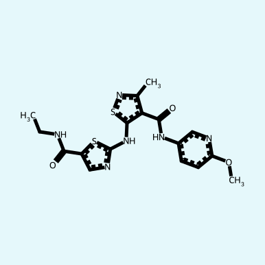 CCNC(=O)c1cnc(Nc2snc(C)c2C(=O)Nc2ccc(OC)nc2)s1